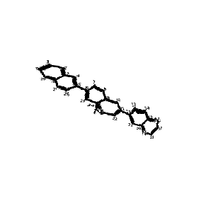 c1ccc2cc(-c3ccc4cc(-c5ccc6nccnc6c5)cnc4c3)ccc2c1